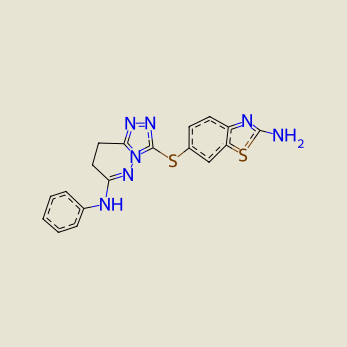 Nc1nc2ccc(Sc3nnc4n3N=C(Nc3ccccc3)CC4)cc2s1